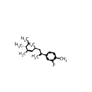 C=C(C[C@H](C)/C=C(/C)[C@H](C)CC)c1ccc(C)c(F)c1